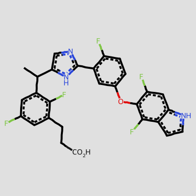 CC(c1cnc(-c2cc(Oc3c(F)cc4[nH]ccc4c3F)ccc2F)[nH]1)c1cc(F)cc(CCC(=O)O)c1F